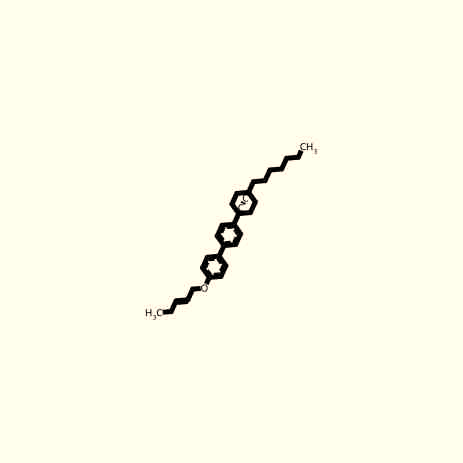 CC/C=C/COc1ccc(-c2ccc(C34CCC(CCCCCCC)(CC3)CC4)cc2)cc1